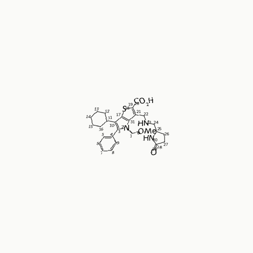 COCn1c(-c2ccccc2)c(C2CCCCC2)c2sc(C(=O)O)c(CNCC3CCC(=O)N3)c21